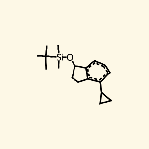 CC(C)(C)[Si](C)(C)OC1CCc2c(C3CC3)cccc21